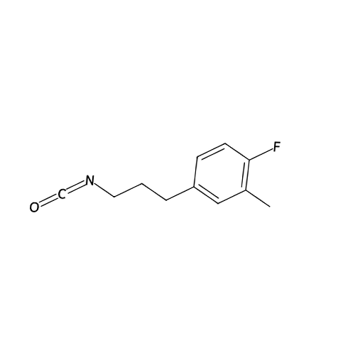 Cc1cc(CCCN=C=O)ccc1F